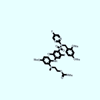 CNC(=O)OCCN(C)c1cc(OC)ccc1Nc1cc(F)c(S(=O)(=O)N(Cc2ccc(OC)cc2OC)c2ncc(F)cn2)cc1Cl